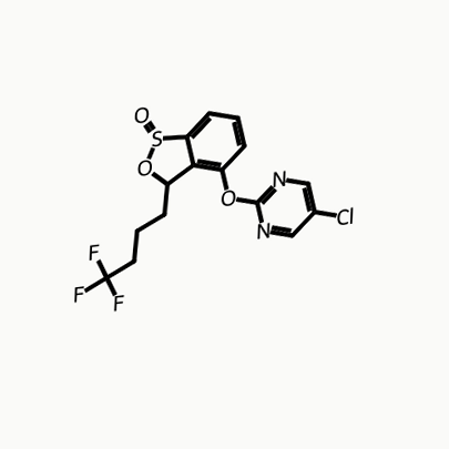 O=S1OC(CCCC(F)(F)F)c2c(Oc3ncc(Cl)cn3)cccc21